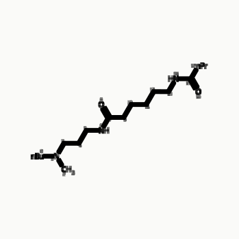 CCCCN(C)CCCNC(=O)CCCCCNC(=O)CCC